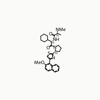 CN[C@@H](C)C(=O)N[C@H](C(=O)N1CCC[C@H]1c1nc(-c2c(OC)ccc3ccccc23)cs1)C1CCCCC1